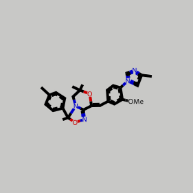 COc1cc(/C=C2\OC(C)(C)CN3C2=NOC3(C)c2ccc(C)cc2)ccc1-n1cnc(C)c1